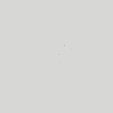 OCCn1nc(NCc2nc3ccccc3[nH]2)c2ncc(C3CC3)nc21